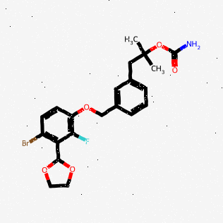 CC(C)(Cc1cccc(COc2ccc(Br)c(C3OCCO3)c2F)c1)OC(N)=O